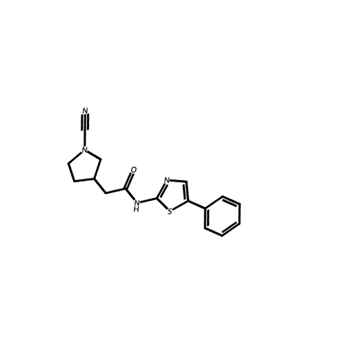 N#CN1CCC(CC(=O)Nc2ncc(-c3ccccc3)s2)C1